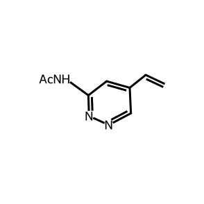 C=Cc1cnnc(NC(C)=O)c1